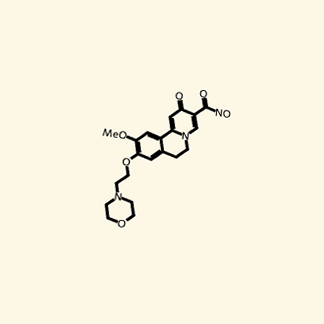 COc1cc2c(cc1OCCN1CCOCC1)CCn1cc(C(=O)N=O)c(=O)cc1-2